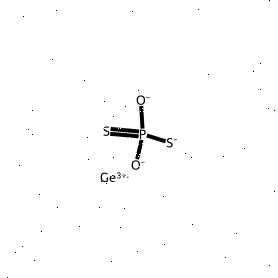 [Ge+3].[O-]P([O-])(=S)[S-]